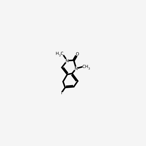 CN1C=C2CC(I)=CC=C2N(C)C1=O